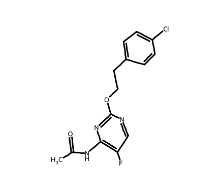 CC(=O)Nc1nc(OCCc2ccc(Cl)cc2)ncc1F